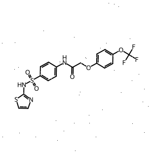 O=C(COc1ccc(OC(F)(F)F)cc1)Nc1ccc(S(=O)(=O)Nc2nccs2)cc1